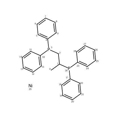 CC(CP(c1ccccc1)c1ccccc1)P(c1ccccc1)c1ccccc1.[Ni]